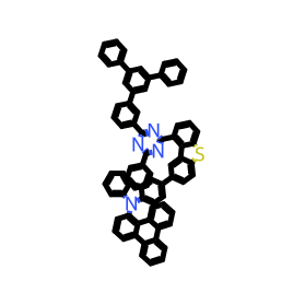 c1ccc(-c2cc(-c3ccccc3)cc(-c3cccc(-c4nc(-c5ccccc5)nc(-c5cccc6sc7ccc(-c8ccc9c(c8)c8ccccc8n9-c8cccc9c%10ccccc%10c%10ccccc%10c89)cc7c56)n4)c3)c2)cc1